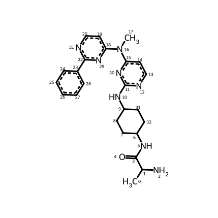 CC(N)C(=O)NC1CCC(Nc2nccc(N(C)c3ccnc(-c4ccccc4)n3)n2)CC1